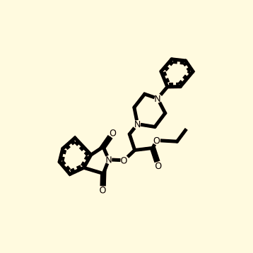 CCOC(=O)C(CN1CCN(c2ccccc2)CC1)ON1C(=O)c2ccccc2C1=O